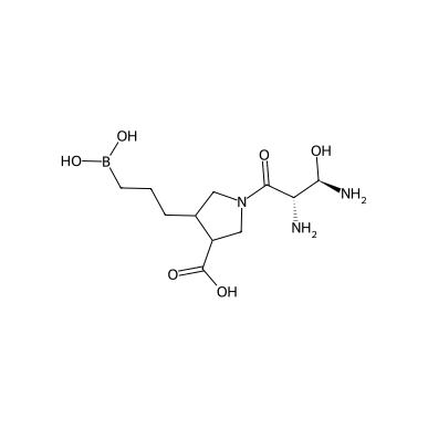 N[C@H](O)[C@H](N)C(=O)N1CC(CCCB(O)O)C(C(=O)O)C1